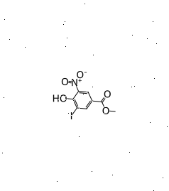 COC(=O)c1cc(I)c(O)c([N+](=O)[O-])c1